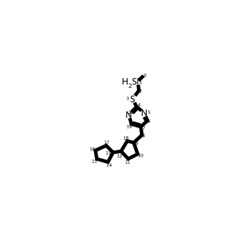 C[SiH2]CSc1ncc(CC2CCC(C3CCCC3)C2)cn1